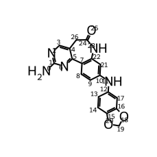 Nc1ncc2c(n1)-c1ccc(Nc3ccc4c(c3)OCO4)cc1NC(=O)C2